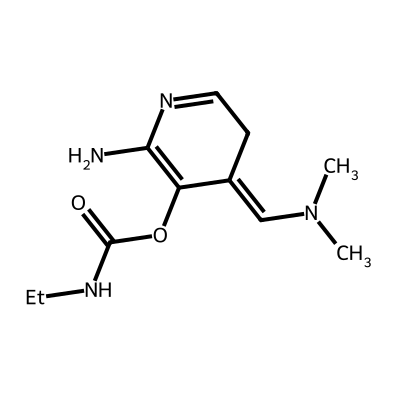 CCNC(=O)OC1=C(N)N=CCC1=CN(C)C